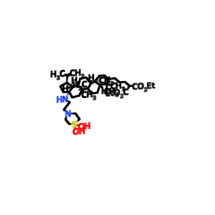 C=C(C)[C@@H]1CC[C@]2(NCCN3CCS(O)(O)CC3)CC[C@]3(C)[C@H](CC[C@@H]4[C@@]5(C)CC=C(CCCC(C(=O)OCC)C(=O)OCC)C(C)(C)[C@@H]5CC[C@]43C)[C@@H]12